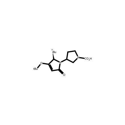 CC[C@H](C)C1C(OC(C)(C)C)=CC(=O)N1C1CCN(C(=O)O)C1